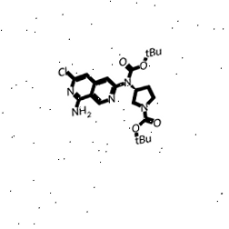 CC(C)(C)OC(=O)N1CC[C@H](N(C(=O)OC(C)(C)C)c2cc3cc(Cl)nc(N)c3cn2)C1